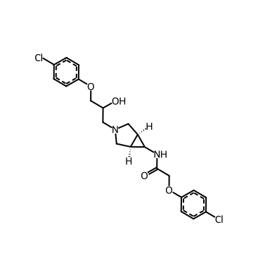 O=C(COc1ccc(Cl)cc1)NC1[C@H]2CN(CC(O)COc3ccc(Cl)cc3)C[C@@H]12